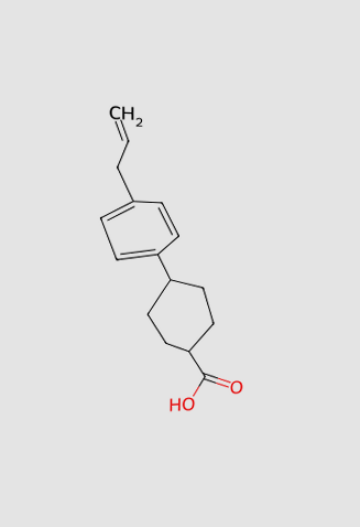 C=CCc1ccc(C2CCC(C(=O)O)CC2)cc1